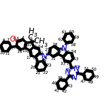 CC1(C)c2cc3oc4ccccc4c3cc2-c2cc3c4ccccc4n(-c4ccc5c(c4)c4cc(-c6nc(-c7ccccc7)nc(-c7ccccc7)n6)ccc4n5-c4ccccc4)c3cc21